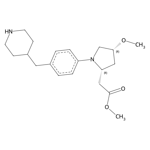 COC(=O)C[C@H]1C[C@@H](OC)CN1c1ccc(CC2CCNCC2)cc1